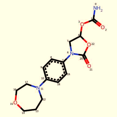 NC(=O)OC1CN(c2ccc(N3CCCOCC3)cc2)C(=O)O1